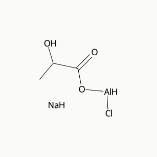 CC(O)C(=O)[O][AlH][Cl].[NaH]